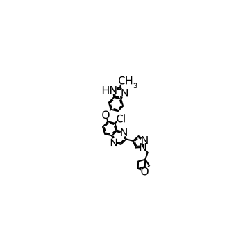 Cc1nc2ccc(Oc3ccc4ncc(-c5cnn(CC67COC(C6)C7)c5)nc4c3Cl)cc2[nH]1